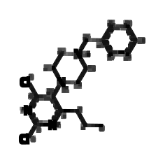 CCCc1nc(Cl)nc(Cl)c1N1CCN(Cc2ccccc2)CC1